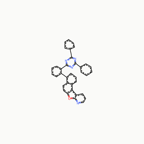 c1ccc(-c2nc(-c3ccccc3)nc(-c3ccccc3-c3cccc4c3ccc3oc5ncccc5c34)n2)cc1